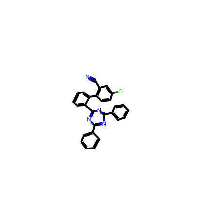 N#Cc1cc(Cl)ccc1-c1ccccc1-c1nc(-c2ccccc2)nc(-c2ccccc2)n1